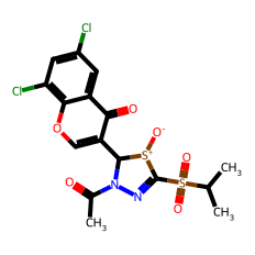 CC(=O)N1N=C(S(=O)(=O)C(C)C)[S+]([O-])C1c1coc2c(Cl)cc(Cl)cc2c1=O